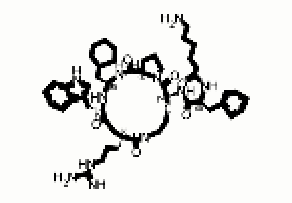 N=C(N)NCCC[C@@H]1CC(=O)[C@H](Cc2c[nH]c3ccccc23)N[C@@H](CC2CCCCC2)NC(=O)[C@@H]2CCCN2C(=O)[C@@H](NC(=O)[C@H](Cc2ccccc2)NC(=O)CCCCCN)CCCNC1=O